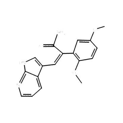 COc1ccc(OC)c(/C(=C/c2c[nH]c3ncccc23)C(N)=O)c1